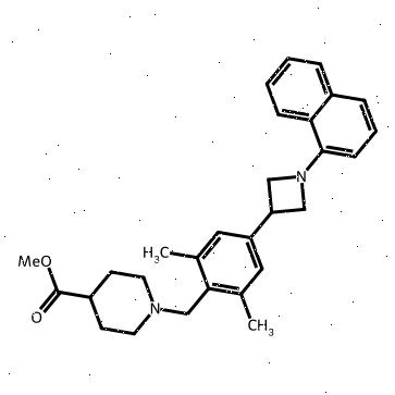 COC(=O)C1CCN(Cc2c(C)cc(C3CN(c4cccc5ccccc45)C3)cc2C)CC1